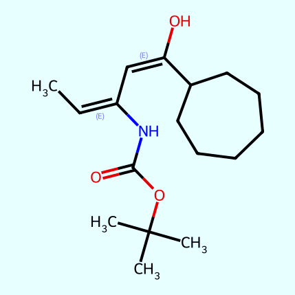 C/C=C(\C=C(\O)C1CCCCCC1)NC(=O)OC(C)(C)C